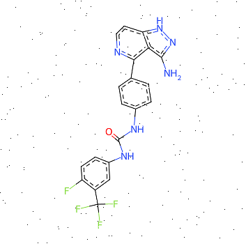 Nc1n[nH]c2ccnc(-c3ccc(NC(=O)Nc4ccc(F)c(C(F)(F)F)c4)cc3)c12